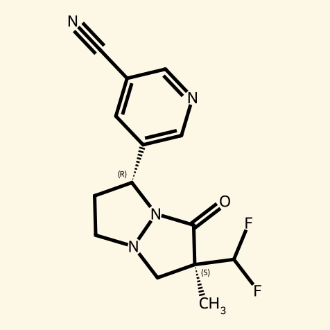 C[C@]1(C(F)F)CN2CC[C@H](c3cncc(C#N)c3)N2C1=O